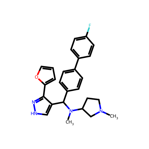 CN1CCC(N(C)C(c2ccc(-c3ccc(F)cc3)cc2)c2c[nH]nc2-c2ccco2)C1